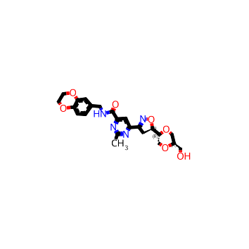 Cc1nc(C(=O)NCc2ccc3c(c2)OCCO3)cc(C2=NO[C@@H]([C@H]3CO[C@H](CO)CO3)C2)n1